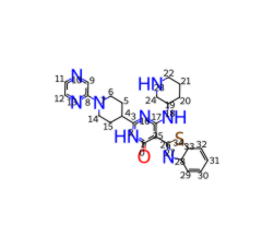 O=c1[nH]c(C2CCN(c3cnccn3)CC2)nc(NC2CCCNC2)c1C1=NC2C=CC=CC2S1